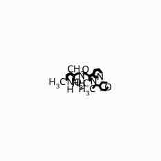 Cc1cc(C)c(CNC(=O)c2c(C)n(C(C)C3CCOCC3)c3ncccc23)c(=O)[nH]1